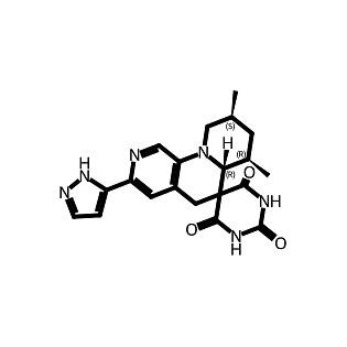 C[C@H]1C[C@@H](C)[C@H]2N(C1)c1cnc(-c3ccn[nH]3)cc1CC21C(=O)NC(=O)NC1=O